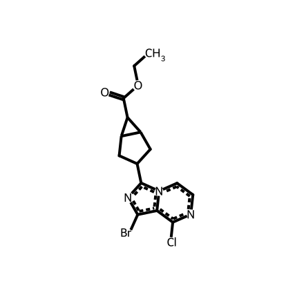 CCOC(=O)C1C2CC(c3nc(Br)c4c(Cl)nccn34)CC21